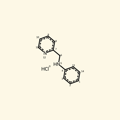 Cl.c1ccc(NCc2ccccn2)cc1